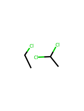 CC(Cl)Cl.CCCl